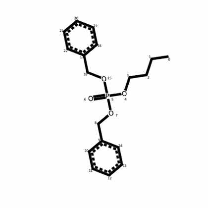 CCCCOP(=O)(OCc1ccccc1)OCc1ccccc1